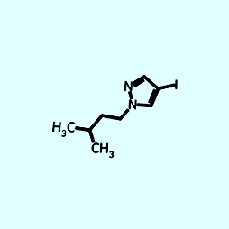 CC(C)CCn1cc(I)cn1